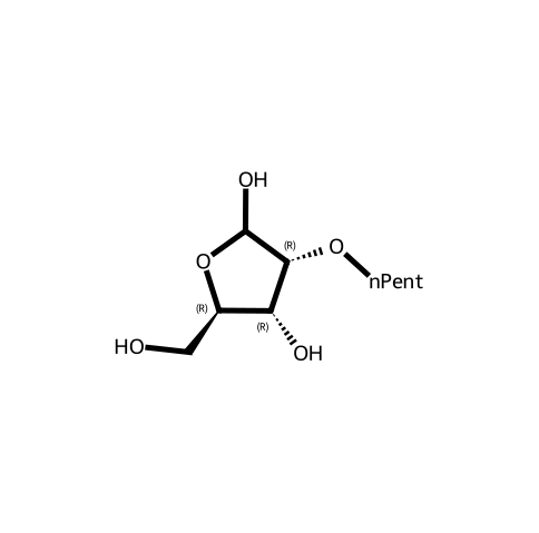 CCCCCO[C@H]1C(O)O[C@H](CO)[C@H]1O